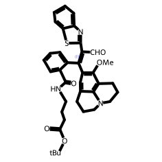 COc1c(/C(=C(\C=O)c2nc3ccccc3s2)c2ccccc2C(=O)NCCCC(=O)OC(C)(C)C)cc2c3c1CCCN3CCC2